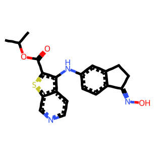 CC(C)OC(=O)c1sc2cnccc2c1Nc1ccc2c(c1)CCC2=NO